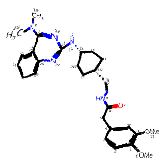 COc1ccc(CC(=O)NC[C@H]2CC[C@@H](Nc3nc(N(C)C)c4ccccc4n3)CC2)cc1OC